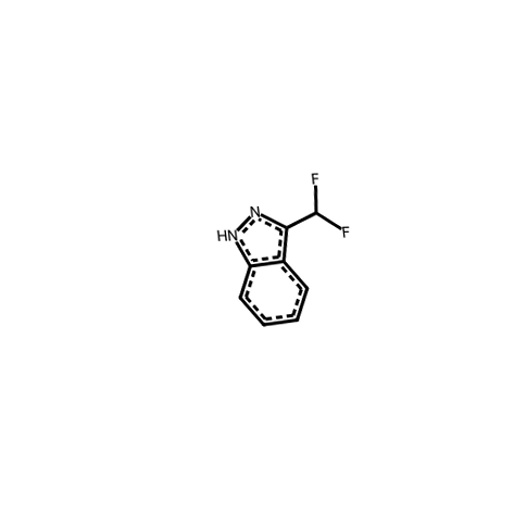 FC(F)c1n[nH]c2ccccc12